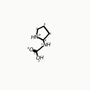 O=C(O)NC1CCCN1